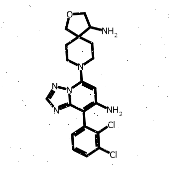 Nc1cc(N2CCC3(CC2)COCC3N)n2ncnc2c1-c1cccc(Cl)c1Cl